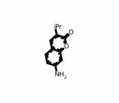 CC(C)c1cc2ccc(N)cc2oc1=O